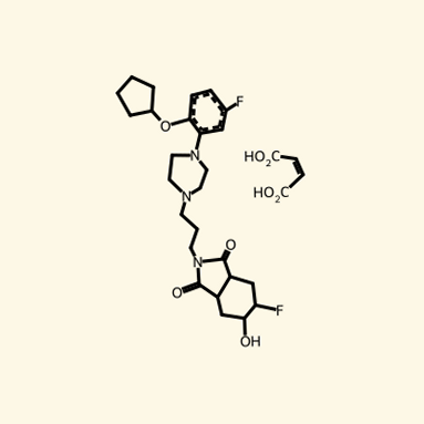 O=C(O)/C=C\C(=O)O.O=C1C2CC(O)C(F)CC2C(=O)N1CCCN1CCN(c2cc(F)ccc2OC2CCCC2)CC1